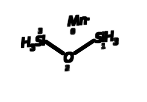 [Mn].[SiH3]O[SiH3]